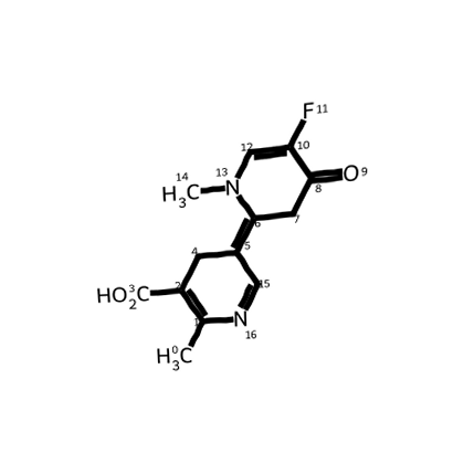 CC1=C(C(=O)O)CC(=C2CC(=O)C(F)=CN2C)C=N1